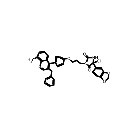 Cc1cccc2c(-c3ccc(OCCCN4C(=O)NC(C)(c5ccc6c(c5)OCO6)C4=O)cc3)c(Cc3ccccc3)cnc12